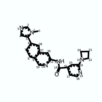 Cn1cncc1-c1ccc2cnc(NC(=O)c3ccnc(N4CCC4)c3)cc2c1